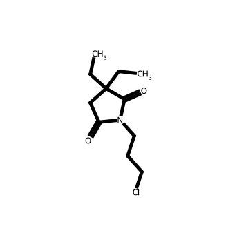 CCC1(CC)CC(=O)N(CCCCl)C1=O